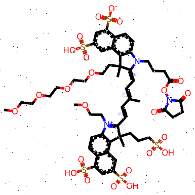 COCCOCCOCCOCCC1(C)\C(=C/C=C(C)/C=C/C2=[N+](CCOC)c3ccc4c(S(=O)(=O)O)cc(S(=O)(=O)O)cc4c3C2(C)CCCS(=O)(=O)O)N(CCCC(=O)ON2C(=O)CCC2=O)c2ccc3c(S(=O)(=O)[O-])cc(S(=O)(=O)O)cc3c21